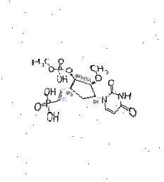 CO[C@@H]1[C@H](OP(=O)(O)OC)[C@@H](/C=C/P(=O)(O)O)C[C@H]1n1ccc(=O)[nH]c1=O